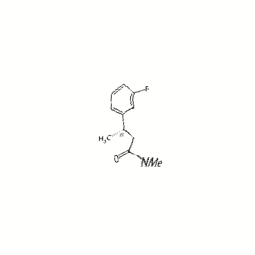 CNC(=O)C[C@H](C)c1cccc(F)c1